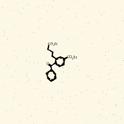 CCOC(=O)CCCc1cc(C(=O)OCC)ccc1C(=O)c1ccccc1